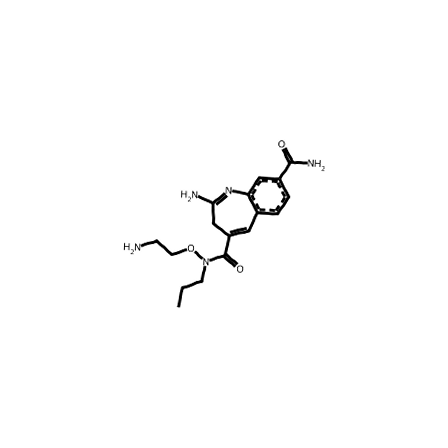 CCCN(OCCN)C(=O)C1=Cc2ccc(C(N)=O)cc2N=C(N)C1